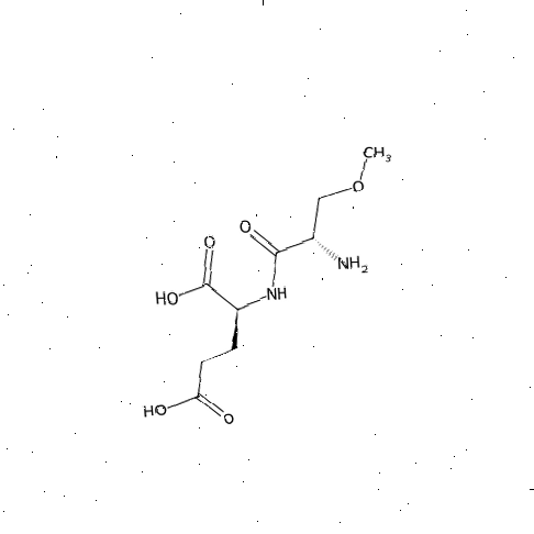 COC[C@H](N)C(=O)N[C@@H](CCC(=O)O)C(=O)O